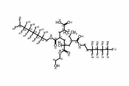 CCC(CC(C)(CC(CC(C)C(=O)O)C(=O)OCC(F)(F)C(F)(F)C(F)(F)C(F)(F)C(F)(F)C(F)F)C(=O)OCCO)C(=O)OCCC(F)(F)C(F)(F)C(F)(F)C(F)(F)F